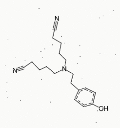 N#CCCCCN(CCCCC#N)CCc1ccc(O)cc1